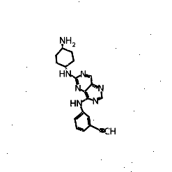 C#Cc1cccc(Nc2ncnc3cnc(N[C@H]4CC[C@H](N)CC4)nc23)c1